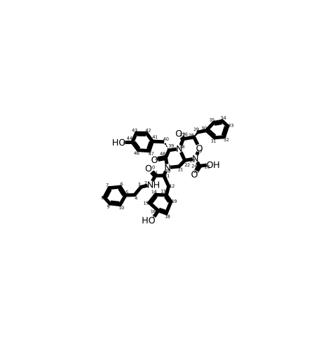 O=C(NCCc1ccccc1)C(Cc1ccc(O)cc1)N1CC2N(C(=O)O)O[C@H](Cc3ccccc3)C(=O)N2[C@@H](Cc2ccc(O)cc2)C1=O